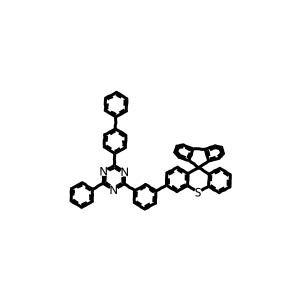 c1ccc(-c2ccc(-c3nc(-c4ccccc4)nc(-c4cccc(-c5ccc6c(c5)Sc5ccccc5C65c6ccccc6-c6ccccc65)c4)n3)cc2)cc1